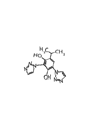 CC(C)c1cc(-n2ccnn2)c(O)c(-n2ccnn2)c1O